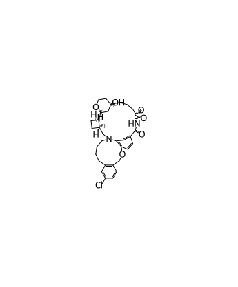 O=C1NS(=O)(=O)CCC[C@]2(O)CCO[C@H](C2)[C@@H]2CC[C@H]2CN2CCCCc3cc(Cl)ccc3COc3ccc1cc32